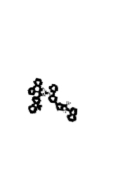 CC1(C)c2ccccc2-c2ccc(-c3nc(N4c5ccc(-c6ccc7c(c6)C(Br)C(c6cccc8ccccc68)S7)cc5C5C=CC=CC54)nc4c5ccccc5c5ccccc5c34)cc21